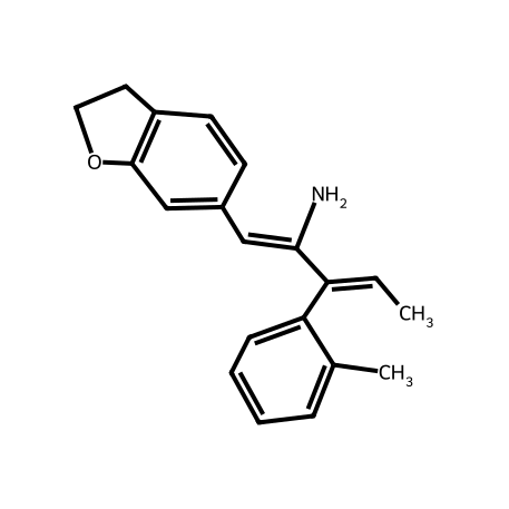 C/C=C(/C(N)=C/c1ccc2c(c1)OCC2)c1ccccc1C